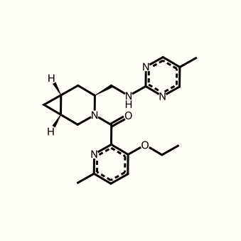 CCOc1ccc(C)nc1C(=O)N1C[C@@H]2C[C@@H]2C[C@H]1CNc1ncc(C)cn1